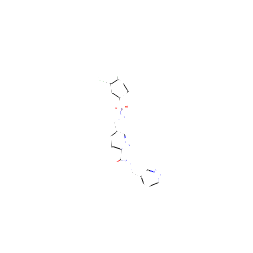 Cc1cc(CNS(=O)(=O)c2ccc(F)c(Cl)c2)cnc1C(=O)NCc1cccnc1